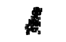 CC(C)(C)OC(=O)N1CCC(Nc2c([N+](=O)[O-])ccc(F)c2C(F)(F)F)CC1